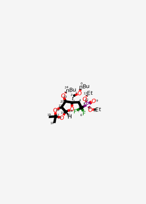 CCCCOC[C@]1(CC(F)(F)P(=O)(OCC)OCC)O[C@@H]2OC(C)(C)OC2C1OCCCC